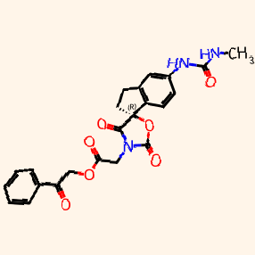 CNC(=O)Nc1ccc2c(c1)CC[C@@]21OC(=O)N(CC(=O)OCC(=O)c2ccccc2)C1=O